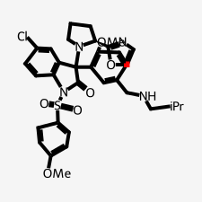 COc1ccc(S(=O)(=O)N2C(=O)C(c3cc(CNCC(C)C)ccc3OC)(N3CCC[C@H]3c3ncco3)c3cc(Cl)ccc32)cc1